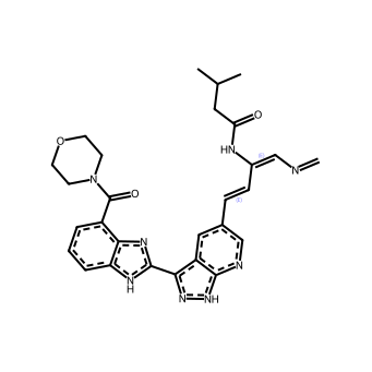 C=N/C=C(\C=C\c1cnc2[nH]nc(-c3nc4c(C(=O)N5CCOCC5)cccc4[nH]3)c2c1)NC(=O)CC(C)C